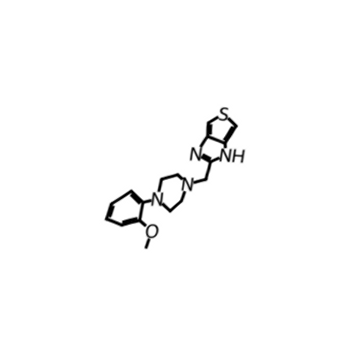 COc1ccccc1N1CCN(Cc2nc3cscc3[nH]2)CC1